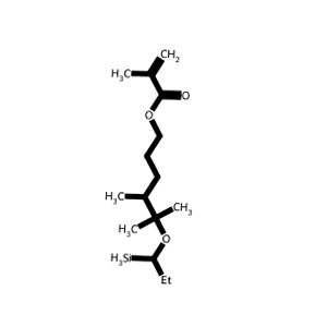 C=C(C)C(=O)OCCCC(C)C(C)(C)OC([SiH3])CC